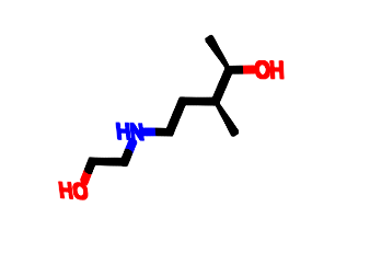 C[C@@H](O)[C@@H](C)CCNCCO